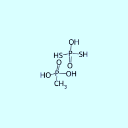 CP(=O)(O)O.O=P(O)(S)S